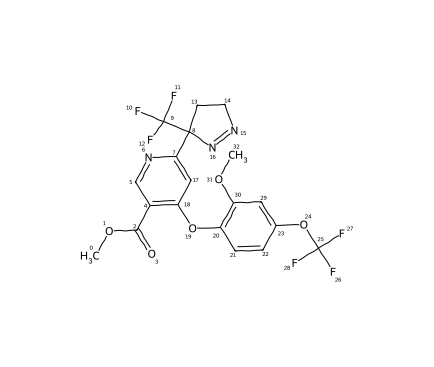 COC(=O)c1cnc(C2(C(F)(F)F)CCN=N2)cc1Oc1ccc(OC(F)(F)F)cc1OC